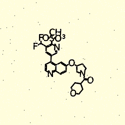 CS(=O)(=O)c1ncc(-c2ccnc3ccc(OC4CCN(C(=O)C5CCOCC5)C4)cc23)cc1C(F)F